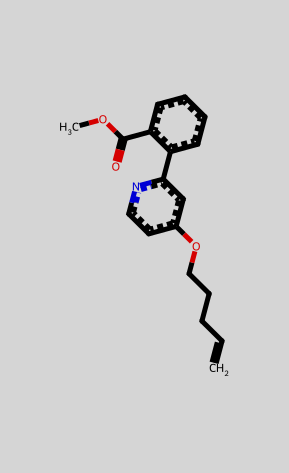 C=CCCCOc1ccnc(-c2ccccc2C(=O)OC)c1